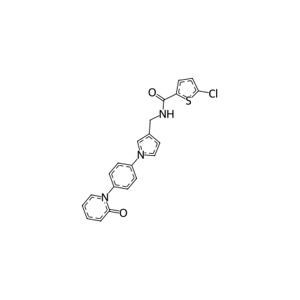 O=C(NCc1ccn(-c2ccc(-n3ccccc3=O)cc2)c1)c1ccc(Cl)s1